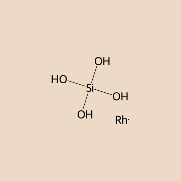 O[Si](O)(O)O.[Rh]